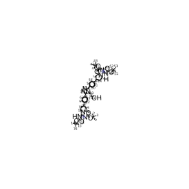 CC(C)(C)OC(=O)/N=C(/NC(=O)OC(C)(C)C)N1CC=C(c2ccc(-c3nnc(-c4ccc(C5=CCN(/C(=N\C(=O)OC(C)(C)C)NC(=O)OC(C)(C)C)CC5)cc4)n3CCO)cc2)CC1